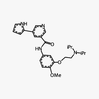 COc1ccc(NC(=O)c2cncc(-c3ccc[nH]3)c2)cc1OCCN(C(C)C)C(C)C